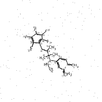 C=C/C=C\C(=C/C=C)C(NCC)C(C)(C)C(C)Cc1c(F)c(F)c(F)c(F)c1F